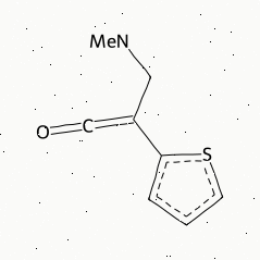 CNCC(=C=O)c1cccs1